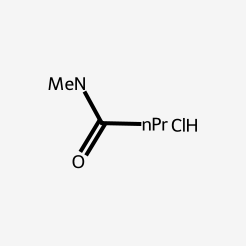 CCCC(=O)NC.Cl